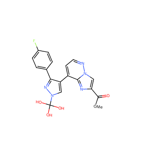 COC(=O)c1cn2nccc(-c3cn(C(O)(O)O)nc3-c3ccc(F)cc3)c2n1